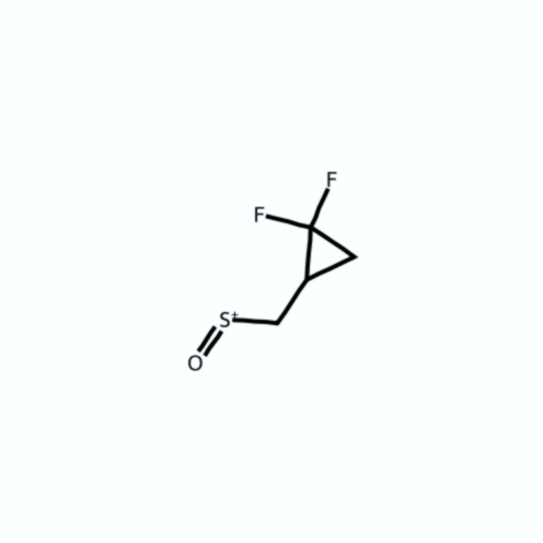 O=[S+]CC1CC1(F)F